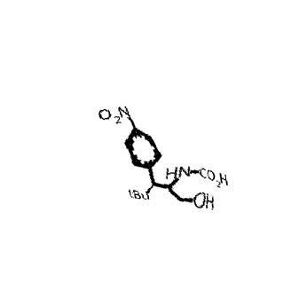 CC(C)(C)[C@@H](c1ccc([N+](=O)[O-])cc1)C(CO)NC(=O)O